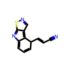 N#CC=CC1C=CC=C2N=c3sncc3=C21